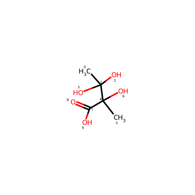 CC(O)(O)C(C)(O)C(=O)O